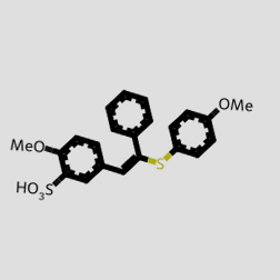 COc1ccc(S/C(=C/c2ccc(OC)c(S(=O)(=O)O)c2)c2ccccc2)cc1